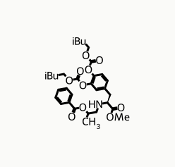 CCC(C)COC(=O)Oc1ccc(C[C@H](NCC(C)OC(=O)c2ccccc2)C(=O)OC)cc1OC(=O)OCC(C)CC